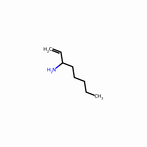 C=C[C](N)CCCCC